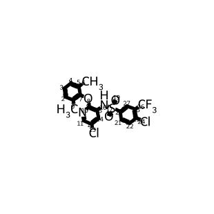 Cc1cccc(C)c1Oc1ncc(Cl)cc1NS(=O)(=O)c1ccc(Cl)c(C(F)(F)F)c1